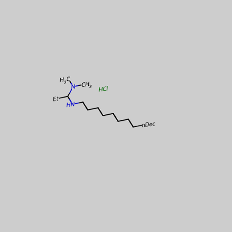 CCCCCCCCCCCCCCCCCCNC(CC)N(C)C.Cl